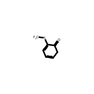 O=C1CC=CC=C1SC(F)(F)F